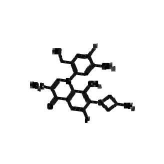 Cc1c(N2CC(N)C2)c(F)cc2c(=O)c(C(=O)O)cn(-c3cc(N)c(F)cc3CO)c12